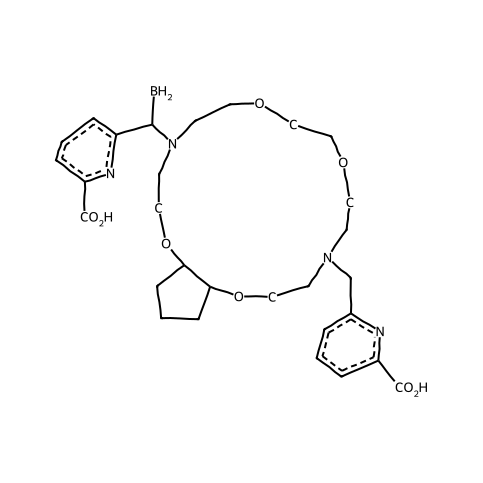 BC(c1cccc(C(=O)O)n1)N1CCOCCOCCN(Cc2cccc(C(=O)O)n2)CCOC2CCCC2OCC1